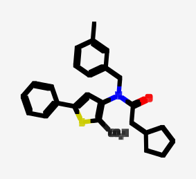 Cc1cccc(CN(C(=O)CC2CCCC2)c2cc(-c3ccccc3)sc2C(=O)O)c1